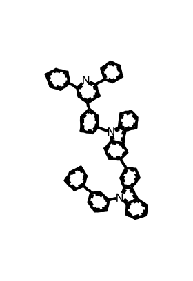 c1ccc(-c2cccc(-n3c4ccccc4c4ccc(-c5ccc6c(c5)c5ccccc5n6-c5cccc(-c6cc(-c7ccccc7)nc(-c7ccccc7)c6)c5)cc43)c2)cc1